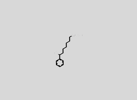 CCCCCCCCCCCCCCC([O])c1ccccc1